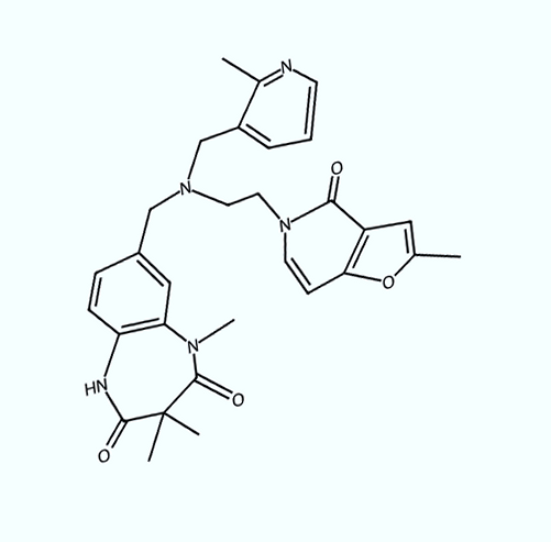 Cc1cc2c(=O)n(CCN(Cc3ccc4c(c3)N(C)C(=O)C(C)(C)C(=O)N4)Cc3cccnc3C)ccc2o1